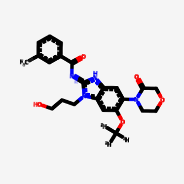 [2H]C([2H])([2H])Oc1cc2c(cc1N1CCOCC1=O)[nH]/c(=N\C(=O)c1cccc(C(F)(F)F)c1)n2CCCO